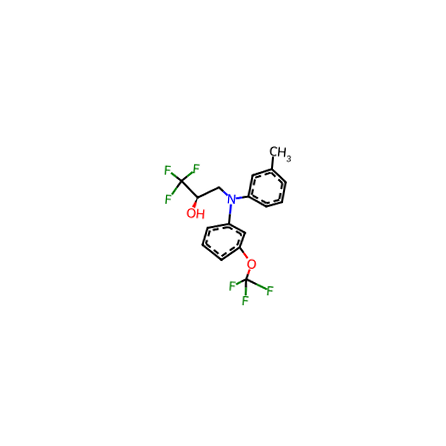 Cc1cccc(N(C[C@@H](O)C(F)(F)F)c2cccc(OC(F)(F)F)c2)c1